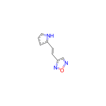 C(=Cc1ccc[nH]1)c1cnon1